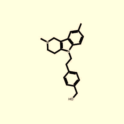 Cc1ccc2c(c1)c1c(n2CCc2ccc(CO)cc2)CCN(C)C1